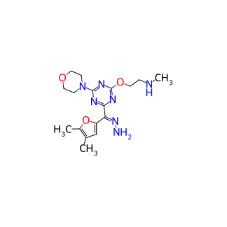 CNCCOc1nc(C(=NN)c2cc(C)c(C)o2)nc(N2CCOCC2)n1